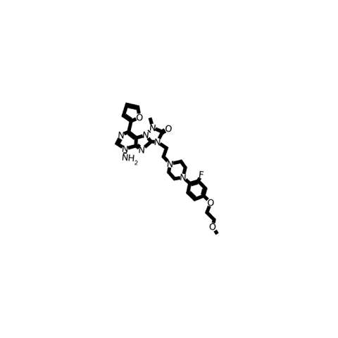 COCCOc1ccc(N2CCN(CCN3C(=O)N(C)N4C5=C(c6ccco6)N=CN(N)C5=NC34)CC2)c(F)c1